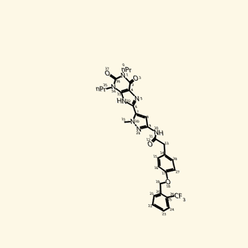 CCCn1c(=O)c2nc(-c3cc(NC(=O)Cc4ccc(OCc5ccccc5C(F)(F)F)cc4)nn3C)[nH]c2n(CCC)c1=O